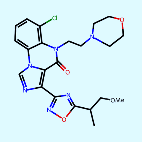 COCC(C)c1nc(-c2ncn3c2c(=O)n(CCN2CCOCC2)c2c(Cl)cccc23)no1